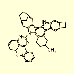 CC1CCc2c(c3c4cc5c(cc4[nH]c3c3c4c(n(-c6nc7c(c(-c8ccccc8)n6)C(C)CC=C7)c23)C=C2CCC(=C4)C2)CC5)C1